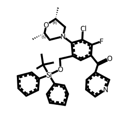 C[C@@H]1CN(c2c(CO[Si](c3ccccc3)(c3ccccc3)C(C)(C)C)cc(C(=O)c3cccnc3)c(F)c2Cl)C[C@H](C)O1